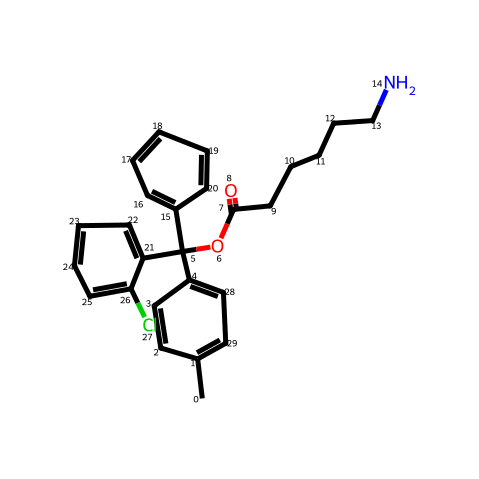 Cc1ccc(C(OC(=O)CCCCCN)(c2ccccc2)c2ccccc2Cl)cc1